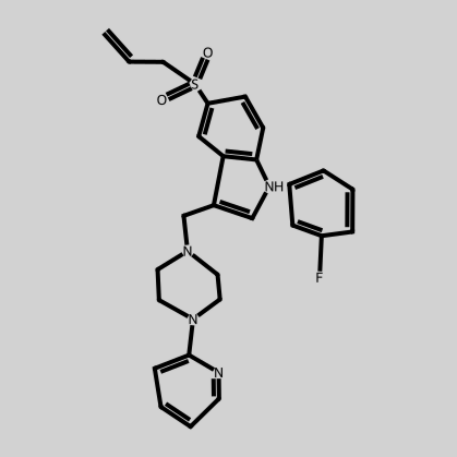 C=CCS(=O)(=O)c1ccc2[nH]cc(CN3CCN(c4ccccn4)CC3)c2c1.Fc1ccccc1